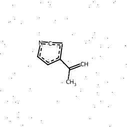 [CH]=C(C)c1ccncc1